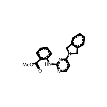 COC(=O)c1ccccc1Nc1nccc(N2Cc3ccccc3C2)n1